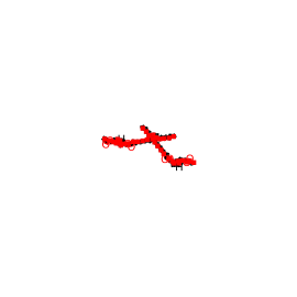 C=CC(=O)OCC1CC2C3CC(CC3COC(=O)CCCCCCCCC3C(CCCCCCCC)CCC(CCCCCC)C3CCCCCCCCC(=O)OCC3CC4C5CC(CC5COC(=O)C(=C)C)[C@H]4C3)[C@H]2C1